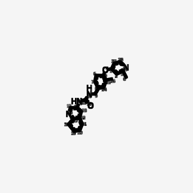 Cc1cc(Oc2ccc(CNC(=O)Nc3cnc4ccccc4c3)cc2C)ccn1